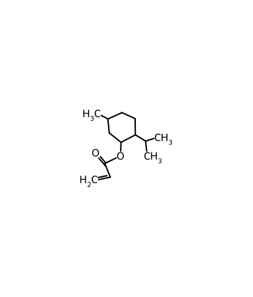 C=CC(=O)OC1CC(C)CCC1C(C)C